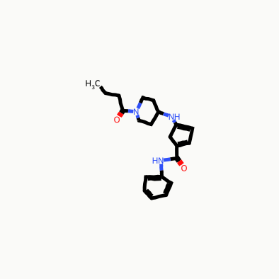 CCCC(=O)N1CCC(NC2=CC=C(C(=O)Nc3ccccc3)C2)CC1